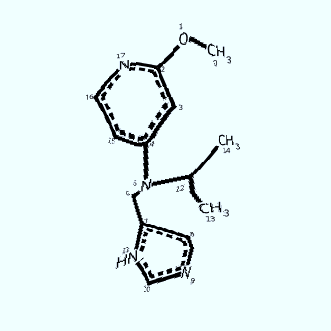 COc1cc(N(Cc2cnc[nH]2)C(C)C)ccn1